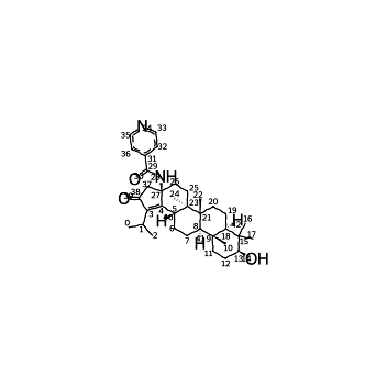 CC(C)C1=C2[C@H]3CC[C@@H]4[C@@]5(C)CC[C@H](O)C(C)(C)[C@@H]5CC[C@@]4(C)[C@]3(C)CC[C@@]2(NC(=O)c2ccncc2)CC1=O